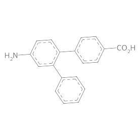 Nc1ccc(-c2ccc(C(=O)O)cc2)c(-c2ccccc2)c1